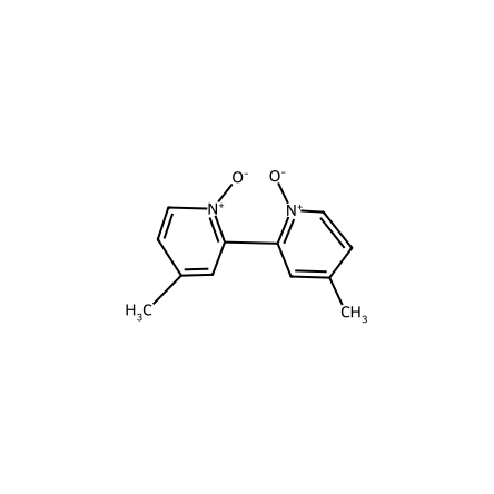 Cc1cc[n+]([O-])c(-c2cc(C)cc[n+]2[O-])c1